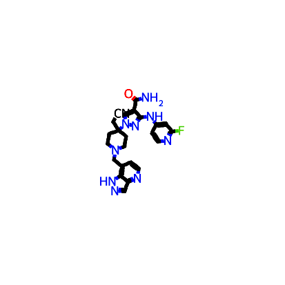 N#CCC1(n2cc(C(N)=O)c(Nc3ccnc(F)c3)n2)CCN(Cc2ccnc3cn[nH]c23)CC1